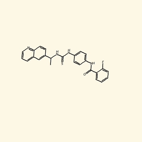 CC(NC(=S)Nc1ccc(NC(=O)c2ccccc2F)cc1)c1ccc2ncccc2c1